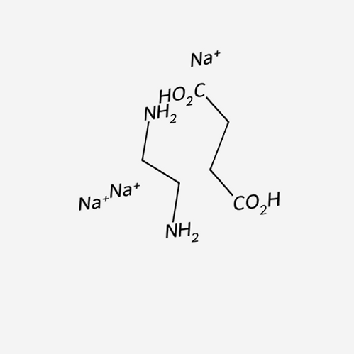 NCCN.O=C(O)CCC(=O)O.[Na+].[Na+].[Na+]